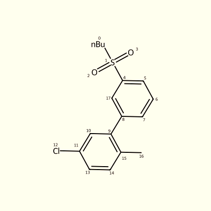 CCCCS(=O)(=O)c1cccc(-c2cc(Cl)ccc2C)c1